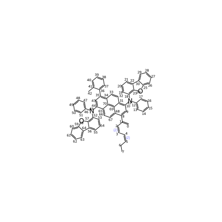 C=C(/C=C\C=C/CC)c1cc(N(c2ccccc2)c2cccc3c2oc2ccccc23)c2ccc3c(-c4ccccc4C)cc(N(c4ccccc4)c4cccc5c4oc4ccccc45)c4ccc1c2c34